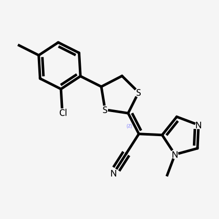 Cc1ccc(C2CS/C(=C(/C#N)c3cncn3C)S2)c(Cl)c1